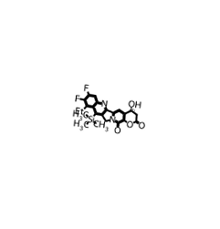 CCc1c(F)c(F)cc2nc3c(c([Si](C)(C)C)c12)Cn1c-3cc2c(c1=O)OC(=O)C[C@H]2O